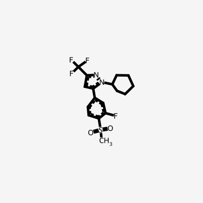 CS(=O)(=O)c1ccc(-c2cc(C(F)(F)F)nn2C2CCCCC2)cc1F